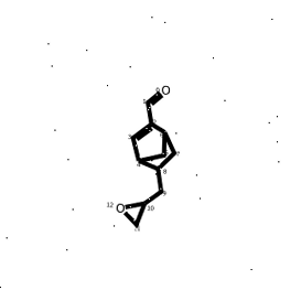 O=CC1=CC2CC1CC2CC1CO1